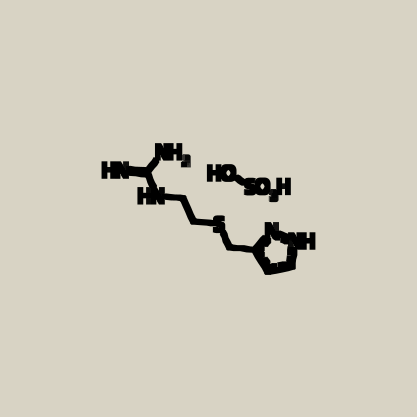 N=C(N)NCCSCc1cc[nH]n1.O=S(=O)(O)O